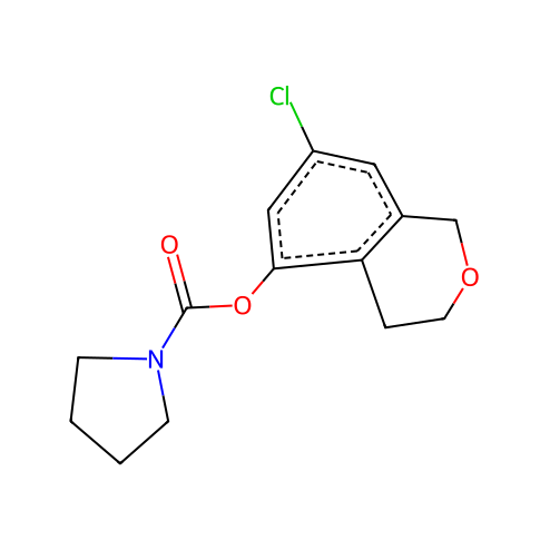 O=C(Oc1cc(Cl)cc2c1CCOC2)N1CCCC1